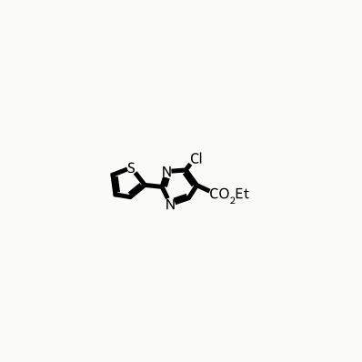 CCOC(=O)c1cnc(-c2cccs2)nc1Cl